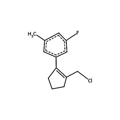 Cc1cc(F)cc(C2=C(CCl)CCC2)c1